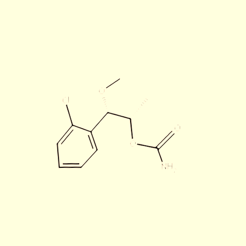 CO[C@@H](c1ccccc1Cl)[C@H](C)OC(N)=O